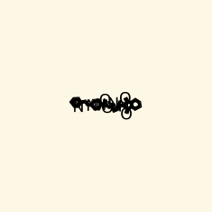 O=C(Oc1ccc(N2C(=O)C3CCCCC3C2=O)cn1)N1CCN(CCc2ccccn2)CC1